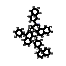 CCC(C)/C(=N\c1c(C)c(N(c2ccc(-c3cccc4ccccc34)cc2)c2ccc(-c3ccccc3)c3ccccc23)cc2ccccc12)c1ccc2ccccc2c1